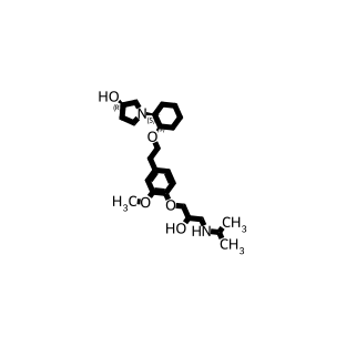 COc1cc(CCO[C@H]2CCCC[C@@H]2N2CC[C@@H](O)C2)ccc1OCC(O)CNC(C)C